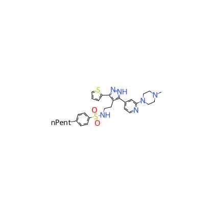 CCCCCc1ccc(S(=O)(=O)NCCc2c(-c3cccs3)n[nH]c2-c2ccnc(N3CCN(C)CC3)c2)cc1